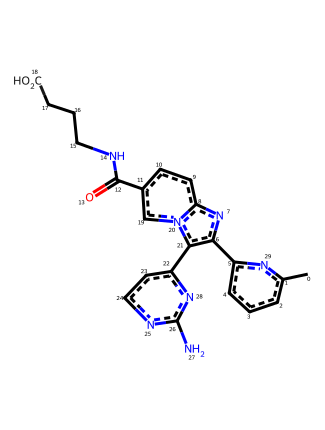 Cc1cccc(-c2nc3ccc(C(=O)NCCCC(=O)O)cn3c2-c2ccnc(N)n2)n1